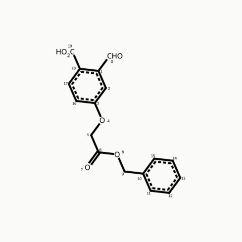 O=Cc1cc(OCC(=O)OCc2ccccc2)ccc1C(=O)O